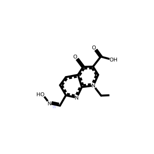 CCn1cc(C(=O)O)c(=O)c2ccc(/C=N\O)nc21